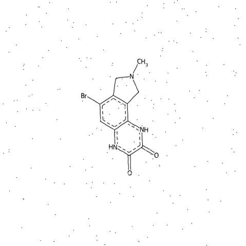 CN1Cc2c(Br)cc3[nH]c(=O)c(=O)[nH]c3c2C1